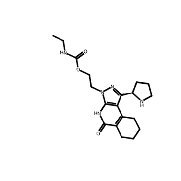 CCNC(=O)OCCn1nc([C@H]2CCCN2)c2c3c(c(=O)[nH]c21)CCCC3